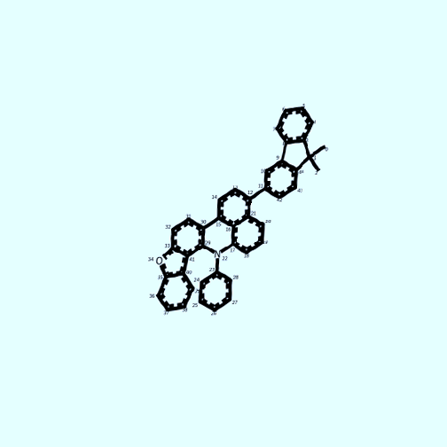 CC1(C)c2ccccc2-c2cc(-c3ccc4c5c(cccc35)N(c3ccccc3)c3c-4ccc4oc5ccccc5c34)ccc21